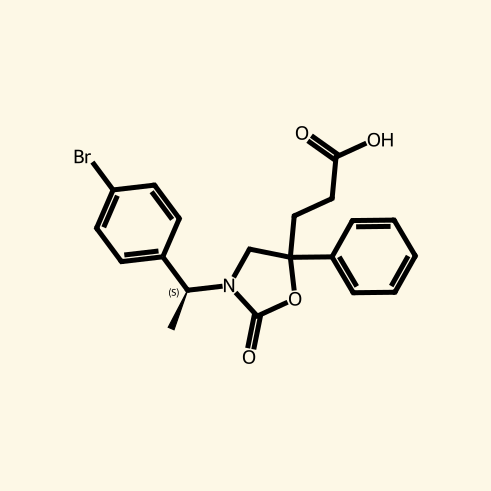 C[C@@H](c1ccc(Br)cc1)N1CC(CCC(=O)O)(c2ccccc2)OC1=O